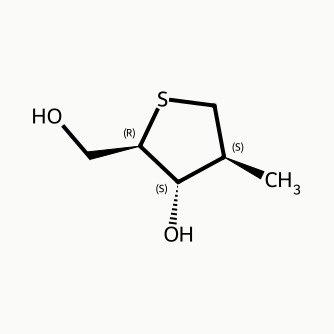 C[C@@H]1CS[C@H](CO)[C@H]1O